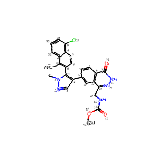 Cn1ncc(-c2ccc3c(=O)[nH]nc(CNC(=O)OC(C)(C)C)c3c2)c1-c1ccc2c(Cl)cccc2c1C#N